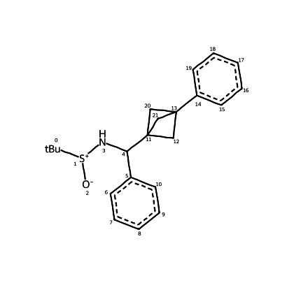 CC(C)(C)[S+]([O-])NC(c1ccccc1)C12CC(c3ccccc3)(C1)C2